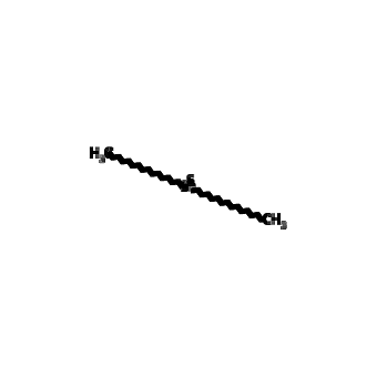 CCCCCCCCCCCCCCC[CH2][Sn](=[S])[CH2]CCCCCCCCCCCCCCC